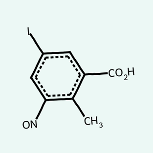 Cc1c(N=O)cc(I)cc1C(=O)O